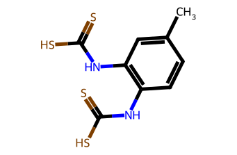 Cc1ccc(NC(=S)S)c(NC(=S)S)c1